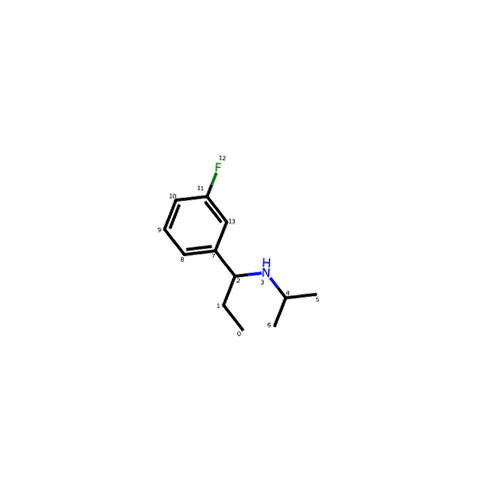 CCC(NC(C)C)c1cccc(F)c1